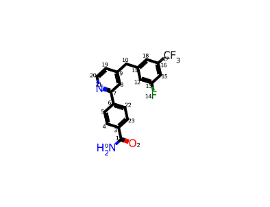 NC(=O)c1ccc(-c2cc(Cc3cc(F)cc(C(F)(F)F)c3)ccn2)cc1